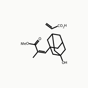 C=CC(=O)O.COC(=O)C(C)=CC12CC3CC(CC(O)(C3)C1)C2